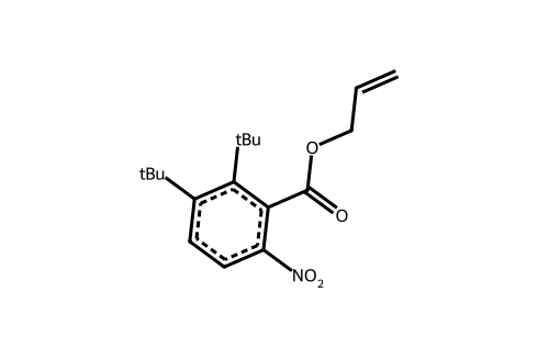 C=CCOC(=O)c1c([N+](=O)[O-])ccc(C(C)(C)C)c1C(C)(C)C